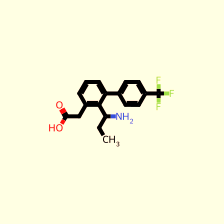 CCC(N)c1c(CC(=O)O)cccc1-c1ccc(C(F)(F)F)cc1